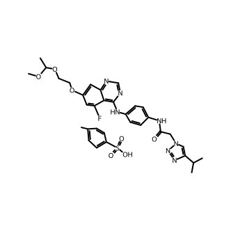 COC(C)OCCOc1cc(F)c2c(Nc3ccc(NC(=O)Cn4cc(C(C)C)nn4)cc3)ncnc2c1.Cc1ccc(S(=O)(=O)O)cc1